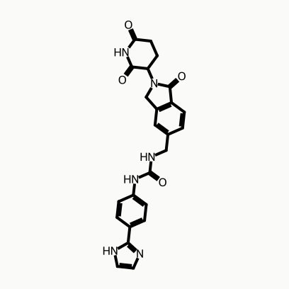 O=C1CCC(N2Cc3cc(CNC(=O)Nc4ccc(-c5ncc[nH]5)cc4)ccc3C2=O)C(=O)N1